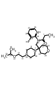 CCC(=O)N(CC1(N2CCN(CCOC(C)C)CC2)CCOCC1)c1ncccc1F